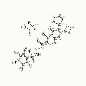 O=C(O)C(F)(F)F.[2H]c1c([2H])c([2H])c(C([2H])([2H])NCCC(=O)N2CCc3nc(C4CCC4)n(-c4ccccc4)c(=O)c3C2S)c([2H])c1[2H]